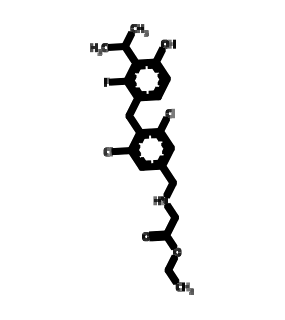 CCOC(=O)CNCc1cc(Cl)c(Cc2ccc(O)c(C(C)C)c2F)c(Cl)c1